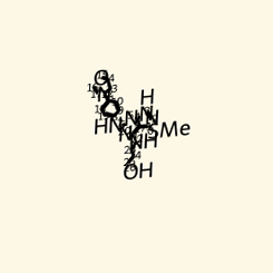 CSc1n[nH]c2nc(Nc3ccc(N4CCOCC4)cc3)nc(NCCCO)c12